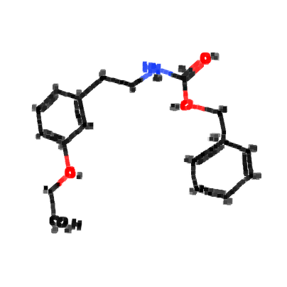 O=C(O)COc1cccc(CCNC(=O)OCc2ccccc2)c1